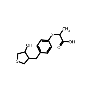 CC(Sc1ccc(CC2CSCC2O)cc1)C(=O)O